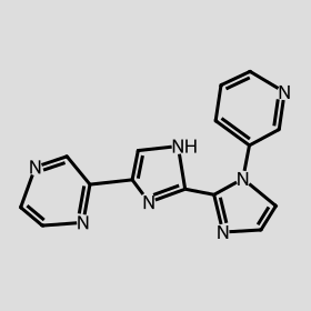 c1cncc(-n2ccnc2-c2nc(-c3cnccn3)c[nH]2)c1